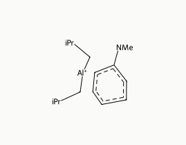 CC(C)[CH2][Al+][CH2]C(C)C.C[N-]c1ccccc1